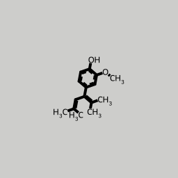 COc1cc(C(C=C(C)C)=C(C)C)ccc1O